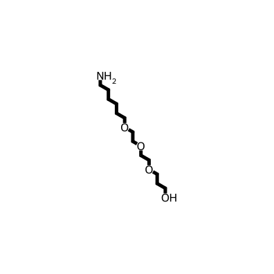 NCCCCCCOCCOCCOCCCO